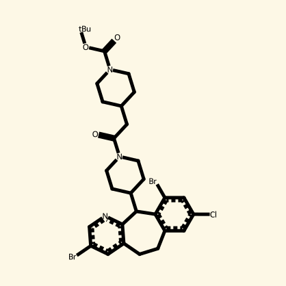 CC(C)(C)OC(=O)N1CCC(CC(=O)N2CCC(C3c4ncc(Br)cc4CCc4cc(Cl)cc(Br)c43)CC2)CC1